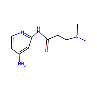 CN(C)CCC(=O)Nc1cc(N)ccn1